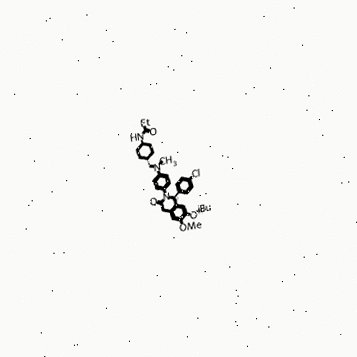 CCC(=O)N[C@H]1CC[C@H](CN(C)c2ccc(N3C(=O)Cc4cc(OC)c(O[C@H](C)CC)cc4[C@@H]3c3ccc(Cl)cc3)cc2)CC1